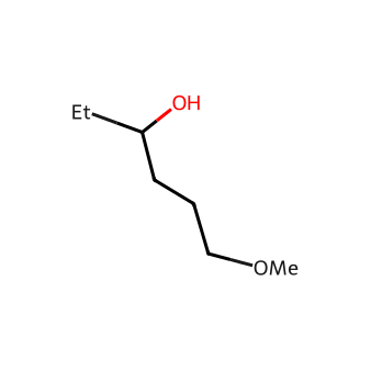 CCC(O)CCCOC